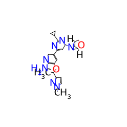 CC(Oc1cc(-c2cc(N3C[C@@H]4C[C@H]3CO4)nc(C3CC3)n2)cnc1N)c1ccn(C)n1